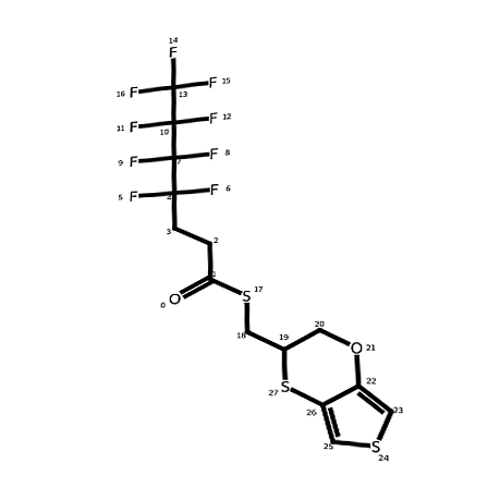 O=C(CCC(F)(F)C(F)(F)C(F)(F)C(F)(F)F)SCC1COc2cscc2S1